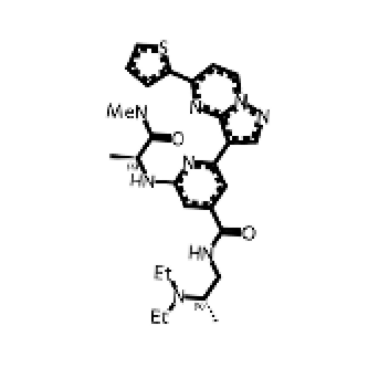 CCN(CC)[C@@H](C)CNC(=O)c1cc(N[C@@H](C)C(=O)NC)nc(-c2cnn3ccc(-c4cccs4)nc23)c1